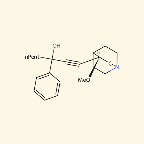 CCCCCC(O)(C#C[C@@]1(OC)CN2CCC1CC2)c1ccccc1